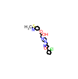 Cc1nc2cc(OC[C@@H](O)CN3CCN(Cc4cc(-c5ccccc5Cl)on4)CC3)ccc2s1